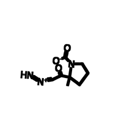 CC1(C(=O)C=[N+]=N)CCCN1C(=O)[O-]